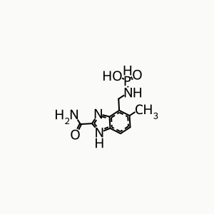 Cc1ccc2[nH]c(C(N)=O)nc2c1CN[PH](=O)O